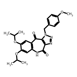 COc1ccc(Cn2nnc3c(=O)[nH]c4cc(OC(C)C)c(OC(C)C)cc4c(=O)c32)cc1